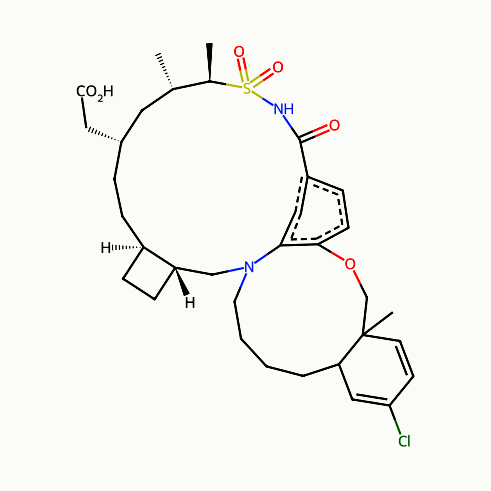 C[C@@H]1[C@@H](C)C[C@@H](CC(=O)O)CC[C@@H]2CC[C@H]2CN2CCCCC3C=C(Cl)C=CC3(C)COc3ccc(cc32)C(=O)NS1(=O)=O